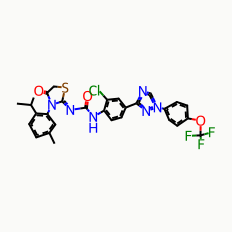 Cc1ccc(C(C)C)c(N2C(=O)CSC2=NC(=O)Nc2ccc(-c3ncn(-c4ccc(OC(F)(F)F)cc4)n3)cc2Cl)c1